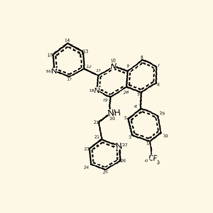 FC(F)(F)c1ccc(-c2cccc3nc(-c4cccnc4)nc(NCc4ccccn4)c23)cc1